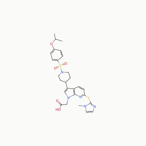 CC(C)Oc1ccc(S(=O)(=O)N2CCC(c3cn(CC(=O)O)c4nc(Sc5nccn5C)ccc34)CC2)cc1